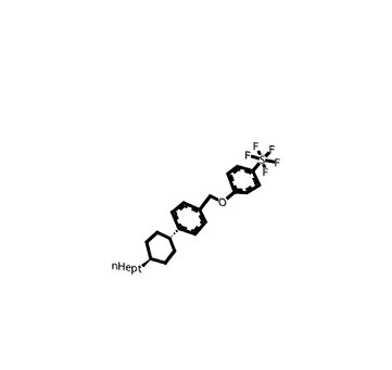 CCCCCCC[C@H]1CC[C@H](c2ccc(COc3ccc(S(F)(F)(F)(F)F)cc3)cc2)CC1